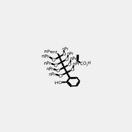 C=CC(=O)O.CCCCCC(OCCC)(OCCC)C(OCCC)(OCCC)C(OCCC)(OCCC)C(OCCC)(OCCC)c1ccccc1O